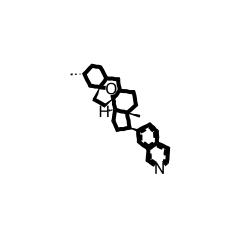 C[C@@H]1CCC2CC3CC[C@]4(C)[C@@H](c5ccc6ccncc6c5)CC[C@H]4[C@@]34CC[C@]2(C1)O4